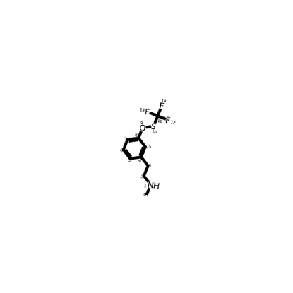 CNCCc1cccc(OSC(F)(F)F)c1